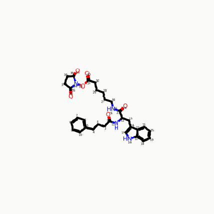 O=C(CCCc1ccccc1)NC(Cc1c[nH]c2ccccc12)C(=O)NCCCCCC(=O)ON1C(=O)CCC1=O